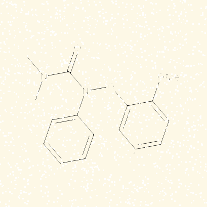 COc1ccccc1ON(C(=O)N(C)C)c1ccccc1